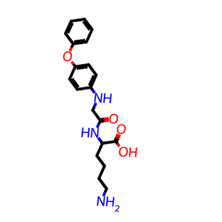 NCCCCC(NC(=O)CNc1ccc(Oc2ccccc2)cc1)C(=O)O